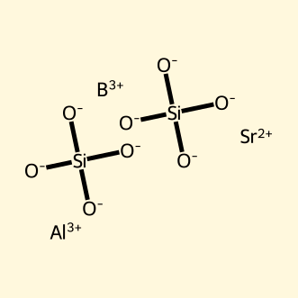 [Al+3].[B+3].[O-][Si]([O-])([O-])[O-].[O-][Si]([O-])([O-])[O-].[Sr+2]